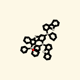 c1ccc(N(c2ccccc2)c2cc3c(sc4cc(N(c5ccccc5)c5cccc6c5oc5ccccc56)cc(N(c5ccccc5)c5cccc6c5oc5ccccc56)c43)c3ccccc23)cc1